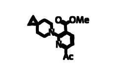 COC(=O)c1ccc(C(C)=O)nc1N1CCC2(CC1)CC2